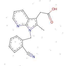 Cc1c(CC(=O)O)c2cccnc2n1Cc1ccccc1C#N